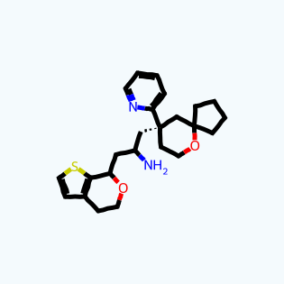 NC(CC1OCCc2ccsc21)C[C@@]1(c2ccccn2)CCOC2(CCCC2)C1